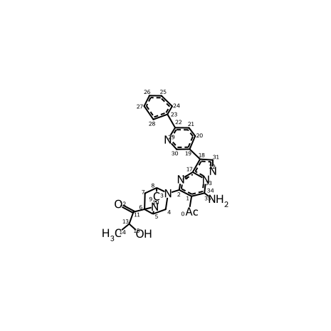 CC(=O)c1c(N2CC3CCC2CN3C(=O)C(C)O)nc2c(-c3ccc(-c4ccccc4)nc3)cnn2c1N